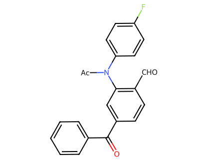 CC(=O)N(c1ccc(F)cc1)c1cc(C(=O)c2ccccc2)ccc1C=O